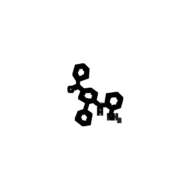 Nc1ccccc1Nc1ccc(C(=O)c2ccccc2)cc1-c1ccccc1